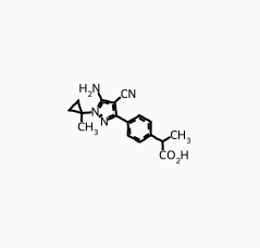 CC(C(=O)O)c1ccc(-c2nn(C3(C)CC3)c(N)c2C#N)cc1